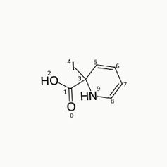 O=C(O)C1(I)C=CC=CN1